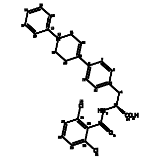 O=C(N[C@@H](Cc1ccc(C2=CCN(c3ccccc3)CC2)cc1)C(=O)O)c1c(Cl)cccc1Cl